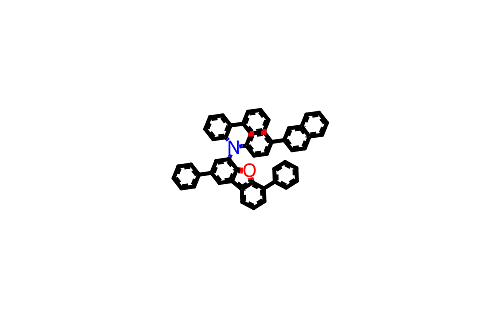 c1ccc(-c2cc(N(c3ccc(-c4ccc5ccccc5c4)cc3)c3ccccc3-c3ccccc3)c3oc4c(-c5ccccc5)cccc4c3c2)cc1